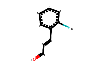 O=C/C=C/c1ccccc1F